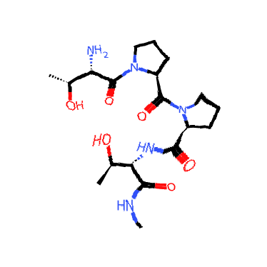 CNC(=O)[C@@H](NC(=O)[C@@H]1CCCN1C(=O)[C@@H]1CCCN1C(=O)[C@@H](N)[C@@H](C)O)[C@@H](C)O